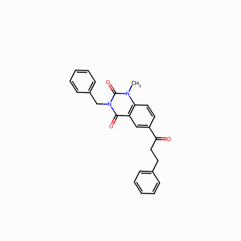 Cn1c(=O)n(Cc2ccccc2)c(=O)c2cc(C(=O)CCc3ccccc3)ccc21